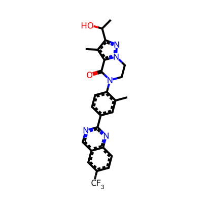 Cc1cc(-c2ncc3cc(C(F)(F)F)ccc3n2)ccc1N1CCn2nc(C(C)O)c(C)c2C1=O